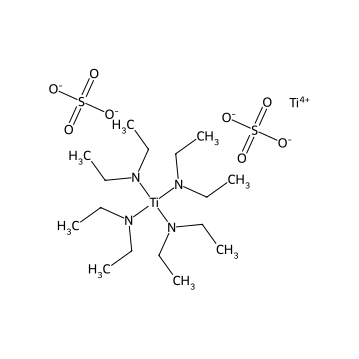 CC[N](CC)[Ti]([N](CC)CC)([N](CC)CC)[N](CC)CC.O=S(=O)([O-])[O-].O=S(=O)([O-])[O-].[Ti+4]